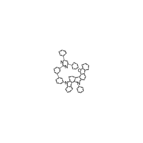 c1ccc(-c2cc(-c3ccccc3)nc(-c3cccc(-c4cccc(-n5c6ccccc6c6c5ccc5c7c8oc9ccccc9c8ccc7n(-c7ccccc7)c56)c4)c3)n2)cc1